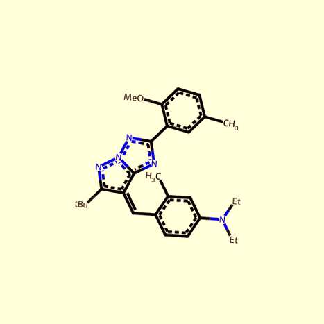 CCN(CC)c1ccc(/C=c2/c(C(C)(C)C)nn3nc(-c4cc(C)ccc4OC)nc23)c(C)c1